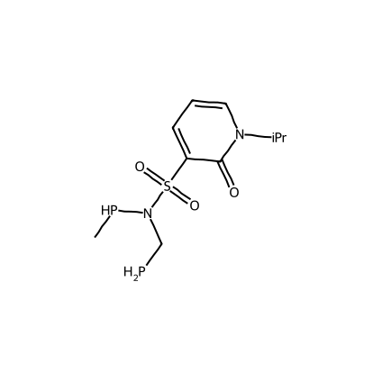 CPN(CP)S(=O)(=O)c1cccn(C(C)C)c1=O